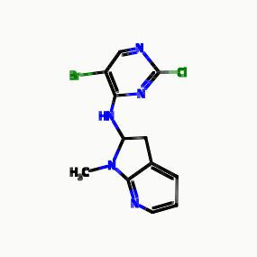 CN1c2ncccc2CC1Nc1nc(Cl)ncc1Br